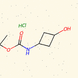 CC(C)(C)OC(=O)NC1CC(O)C1.Cl